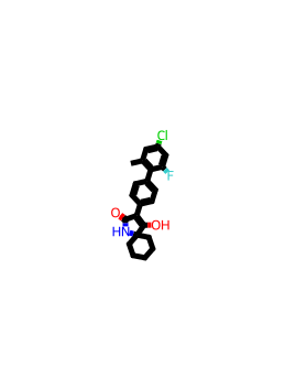 Cc1cc(Cl)cc(F)c1-c1ccc(C2=C(O)C3(CCCCC3)NC2=O)cc1